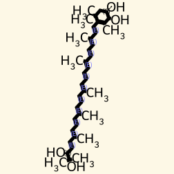 CC1=C(/C=C/C(C)=C/C=C/C(C)=C/C=C/C=C(C)/C=C/C=C(C)/C=C/C=C(C)/C=C/[C@H](O)C(C)(C)O)C(C)(C)C[C@H](O)C1O